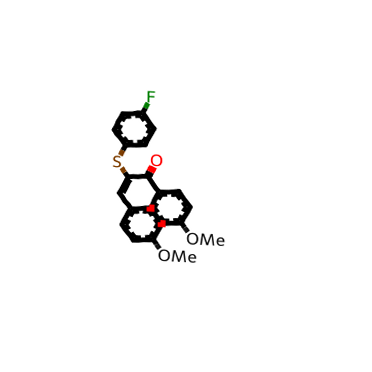 COc1ccc(/C=C(/Sc2ccc(F)cc2)C(=O)c2ccc(OC)cc2)cc1